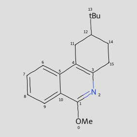 COc1nc2c(c3ccccc13)CC(C(C)(C)C)CC2